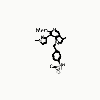 COc1ncc2c(C)cn(Cc3ccc(N[SH](=O)=O)cc3)c2c1-c1ccn(C)n1